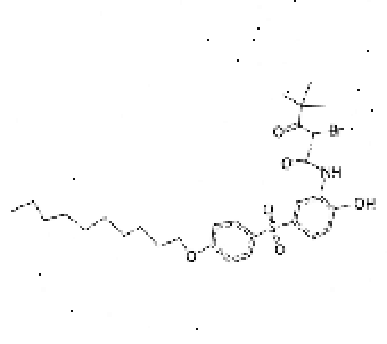 CCCCCCCCCCOc1ccc(S(=O)(=O)c2ccc(O)c(NC(=O)C(Br)C(=O)C(C)(C)C)c2)cc1